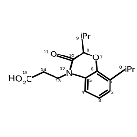 CC(C)c1cccc2c1OC(C(C)C)C(=O)N2CCC(=O)O